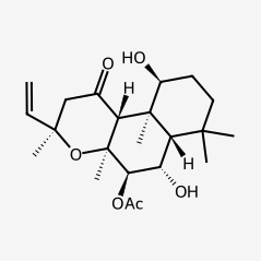 C=C[C@@]1(C)CC(=O)[C@H]2[C@](C)(O1)[C@H](OC(C)=O)[C@@H](O)[C@H]1C(C)(C)CC[C@H](O)[C@@]12C